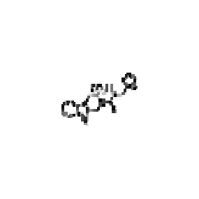 Cn1c2c(c3ccccc31)CC(C(=O)O)N(C(=S)SCc1cccs1)C2